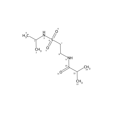 CC(C)NS(=O)(=O)CCNC(=O)C(C)C